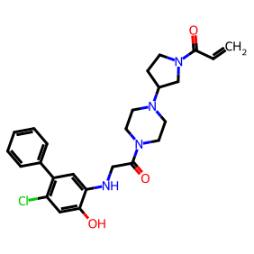 C=CC(=O)N1CCC(N2CCN(C(=O)CNc3cc(-c4ccccc4)c(Cl)cc3O)CC2)C1